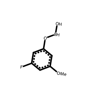 COc1cc(F)cc(OBO)c1